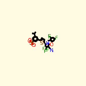 CC(C)c1cc(-c2ccc(-c3cc(C(F)(F)F)c(C#N)c(=O)n3Cc3ccc(F)cc3F)s2)cc(S(C)(=O)=O)c1